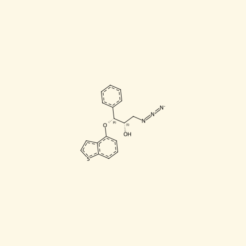 [N-]=[N+]=NC[C@H](O)[C@H](Oc1cccc2sccc12)c1ccccc1